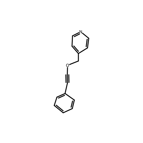 C(#Cc1ccccc1)OCc1ccncc1